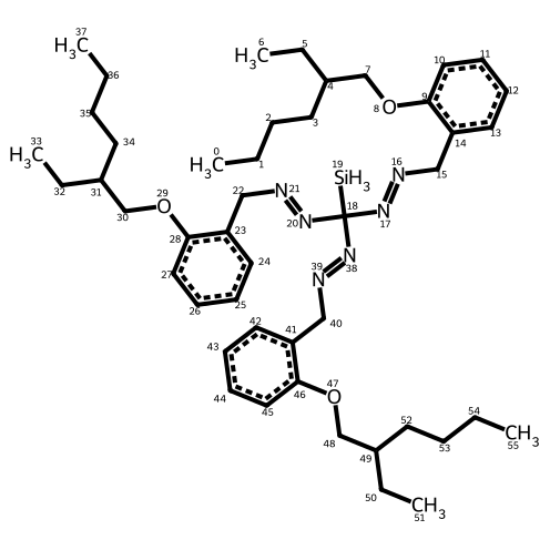 CCCCC(CC)COc1ccccc1CN=NC([SiH3])(N=NCc1ccccc1OCC(CC)CCCC)N=NCc1ccccc1OCC(CC)CCCC